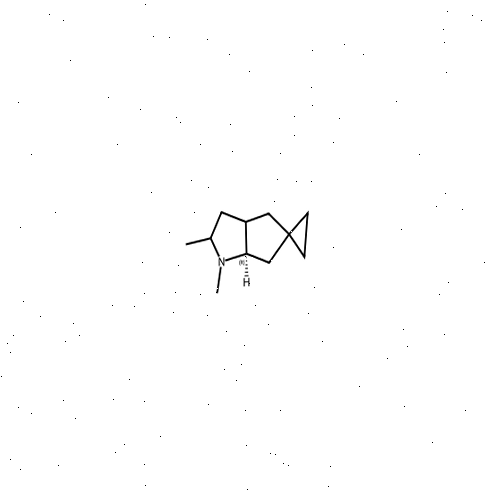 CC1CC2CC3(CC3)C[C@H]2N1C